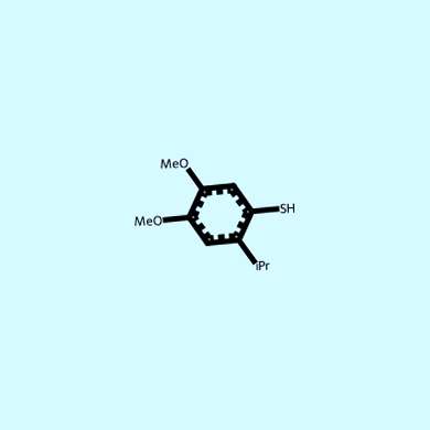 COc1cc(S)c(C(C)C)cc1OC